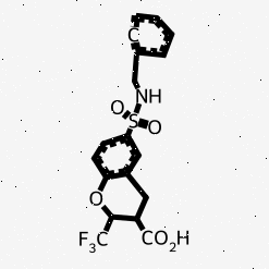 O=C(O)C1Cc2cc(S(=O)(=O)NCc3ccccc3)ccc2OC1C(F)(F)F